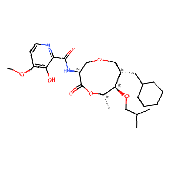 COc1ccnc(C(=O)N[C@H]2COC[C@H](CC3CCCCC3)[C@@H](OCC(C)C)[C@H](C)OC2=O)c1O